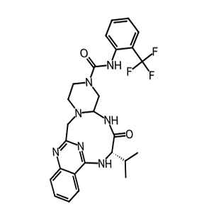 CC(C)[C@@H]1Nc2nc(nc3ccccc23)CN2CCN(C(=O)Nc3ccccc3C(F)(F)F)CC2NC1=O